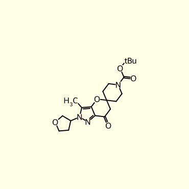 Cc1c2c(nn1C1CCOC1)C(=O)CC1(CCN(C(=O)OC(C)(C)C)CC1)O2